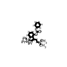 CC(C)[Si](C(C)C)(C(C)C)n1cc(CCN(C)C)c2c(OC(=O)Sc3ccccc3)cccc21